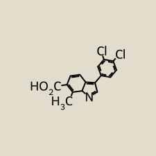 CC1=C(C(=O)O)C=CC2=C(c3ccc(Cl)c(Cl)c3)C=NC12